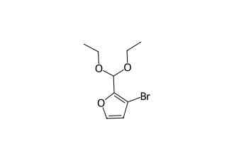 CCOC(OCC)c1occc1Br